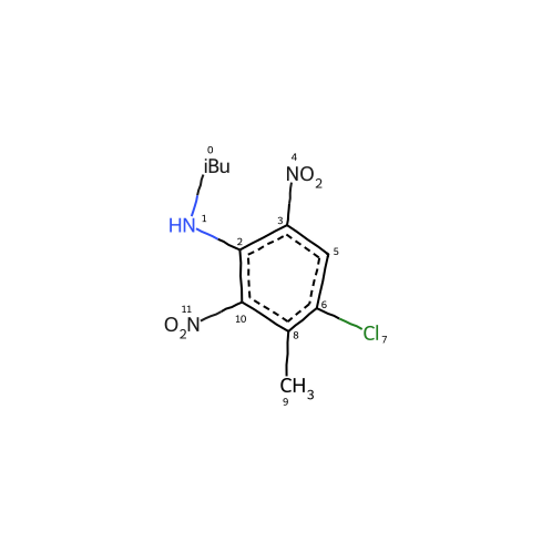 CCC(C)Nc1c([N+](=O)[O-])cc(Cl)c(C)c1[N+](=O)[O-]